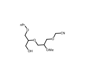 CCCOCC(CO)OCC(COCC#N)OC